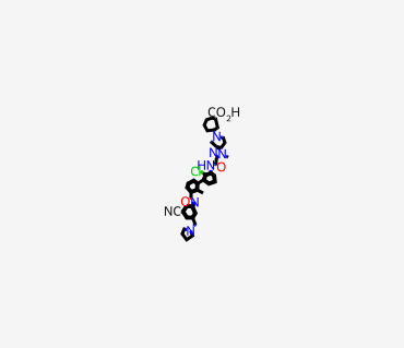 Cc1c(-c2nc3cc(CN4CCCC4)cc(C#N)c3o2)cccc1-c1cccc(NC(=O)c2nc3c(n2C)CCN(C2CCCC(C(=O)O)CC2)C3)c1Cl